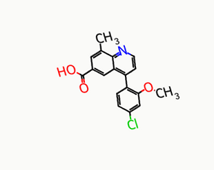 COc1cc(Cl)ccc1-c1ccnc2c(C)cc(C(=O)O)cc12